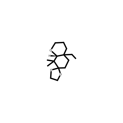 CCC12CCCO[C@H]1C(C)(C)C1(CC2)OCCO1